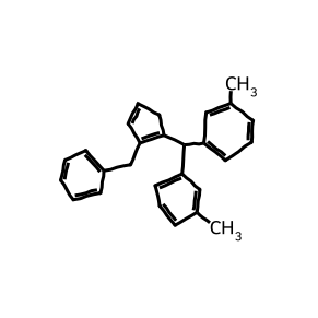 Cc1cccc(C(C2=C(Cc3ccccc3)C=CC2)c2cccc(C)c2)c1